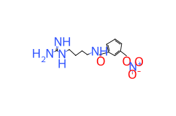 N=C(N)NCCCCNC(=O)c1cccc(CO[N+](=O)[O-])c1